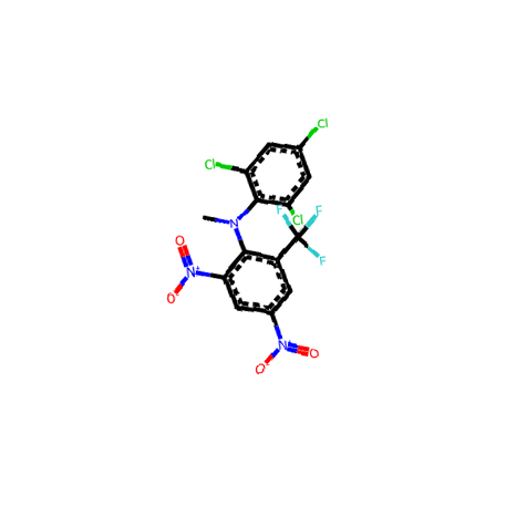 CN(c1c(Cl)cc(Cl)cc1Cl)c1c([N+](=O)[O-])cc([N+](=O)[O-])cc1C(F)(F)F